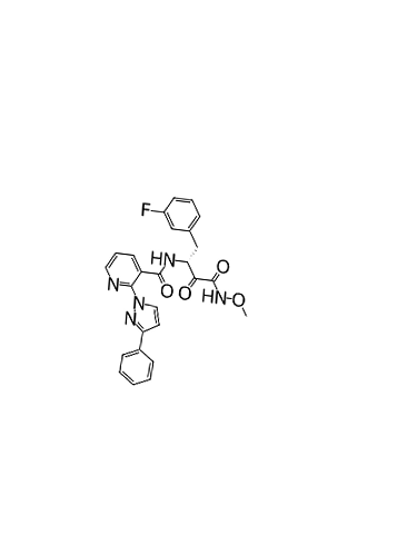 CONC(=O)C(=O)[C@@H](Cc1cccc(F)c1)NC(=O)c1cccnc1-n1ccc(-c2ccccc2)n1